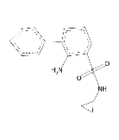 Nc1c(-c2ccccc2)cccc1S(=O)(=O)NC1CC1